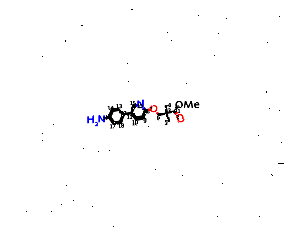 COC(=O)C(C)(C)COc1ccc(-c2ccc(N)cc2)cn1